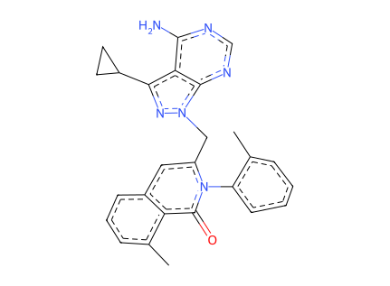 Cc1ccccc1-n1c(Cn2nc(C3CC3)c3c(N)ncnc32)cc2cccc(C)c2c1=O